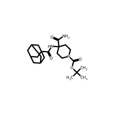 CC(C)(C)OC(=O)N1CCC(NC(=O)C23CC4CC(CC(C4)C2)C3)(C(N)=O)CC1